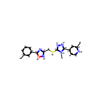 Cc1cccc(-c2nc(CSc3nnc(-c4ccnc(C)c4)n3C)no2)c1